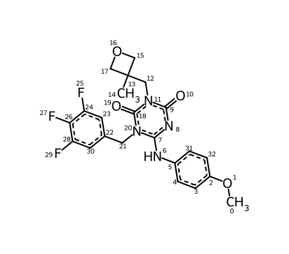 COc1ccc(Nc2nc(=O)n(CC3(C)COC3)c(=O)n2Cc2cc(F)c(F)c(F)c2)cc1